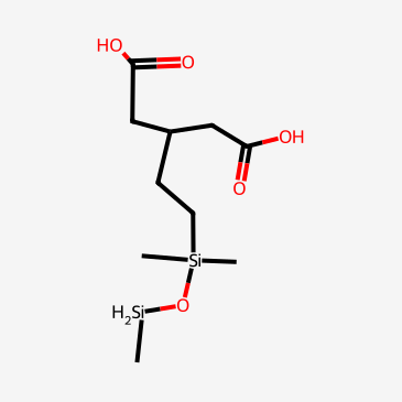 C[SiH2]O[Si](C)(C)CCC(CC(=O)O)CC(=O)O